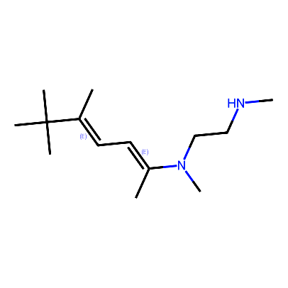 CNCCN(C)/C(C)=C/C=C(\C)C(C)(C)C